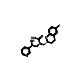 O=C(O)N(CC(O)c1cccnc1)C[C@H]1CCc2cc(I)ccc2O1